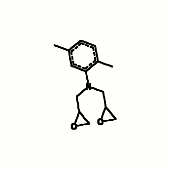 Cc1ccc(C)c(N(CC2CO2)CC2CO2)c1